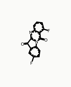 O=C1c2cc(F)ccc2-n2c1nc1cccc(F)c1c2=O